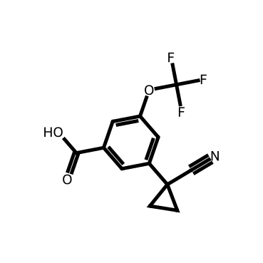 N#CC1(c2cc(OC(F)(F)F)cc(C(=O)O)c2)CC1